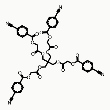 N#Cc1ccc(C(=O)OCC(=O)OCC(COC(=O)COC(=O)c2ccc(C#N)cc2)(COC(=O)COC(=O)c2ccc(C#N)cc2)COC(=O)COC(=O)c2ccc(C#N)cc2)cc1